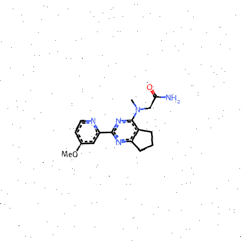 COc1ccnc(-c2nc3c(c(N(C)CC(N)=O)n2)CCC3)c1